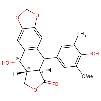 COc1cc(C2c3cc4c(cc3[C@@H](O)[C@H]3COC(=O)[C@H]23)OCO4)cc(C)c1O